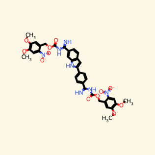 COc1cc(COC(=O)NC(=N)c2ccc(-c3cc4ccc(C(=N)NC(=O)OCc5cc(OC)c(OC)cc5[N+](=O)[O-])cc4[nH]3)cc2)c([N+](=O)[O-])cc1OC